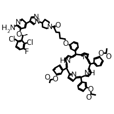 CC(=O)Oc1cccc(-c2c3nc(c(-c4cccc(OC(C)=O)c4)c4ccc([nH]4)c(-c4cccc(OC(C)=O)c4)c4nc(c(-c5cccc(OCCCCC(=O)N6CCC(n7cc(-c8cnc(N)c(O[C@@H](C)c9c(Cl)ccc(F)c9Cl)c8)cn7)CC6)c5)c5ccc2[nH]5)C=C4)C=C3)c1